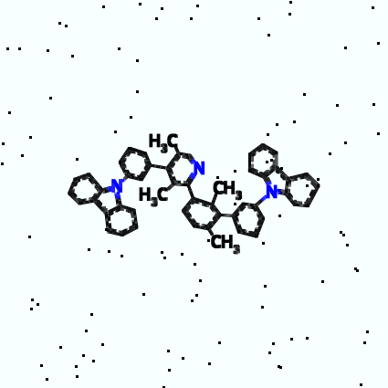 Cc1ccc(-c2ncc(C)c(-c3cccc(-n4c5ccccc5c5ccccc54)c3)c2C)c(C)c1-c1cccc(-n2c3ccccc3c3ccccc32)c1